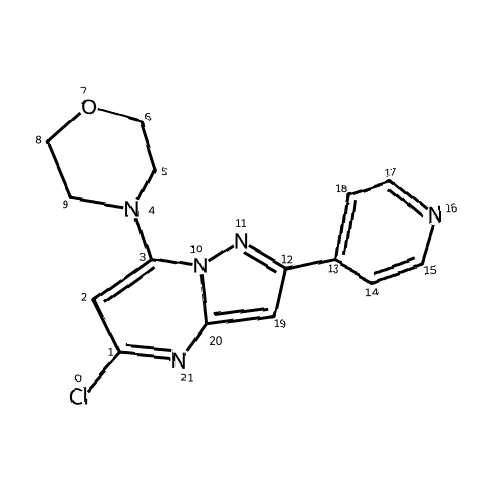 Clc1cc(N2CCOCC2)n2nc(-c3ccncc3)cc2n1